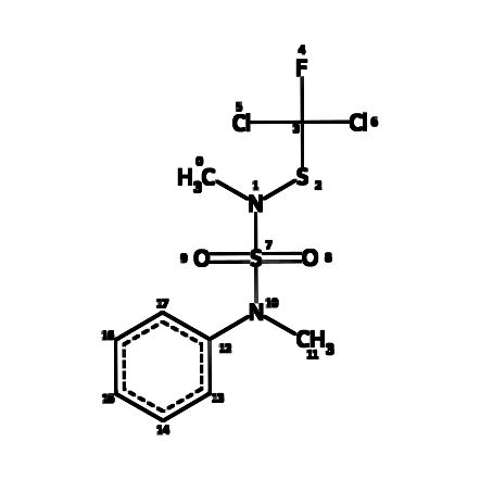 CN(SC(F)(Cl)Cl)S(=O)(=O)N(C)c1ccccc1